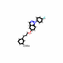 COc1cccc(C[CH]COc2ccc3c(cnn3-c3ccc(F)cc3)c2)c1